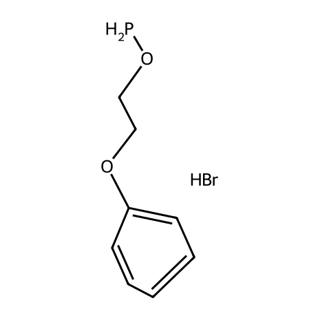 Br.POCCOc1ccccc1